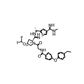 CCc1ccc(Oc2ccc(C(=O)NCC(=O)N3C[C@H](OC(F)F)C[C@H]3C(=N)N[C@H](C)c3cc(C(=N)NC)cs3)cc2)cc1